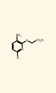 CCOC(=O)COc1nc(Cl)ccc1[N+](=O)[O-]